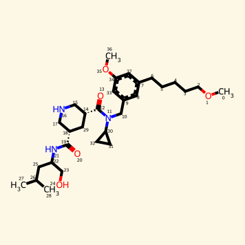 COCCCCCc1cc(CN(C(=O)[C@H]2CNC[C@@H](C(=O)NC(CO)CC(C)C)C2)C2CC2)cc(OC)c1